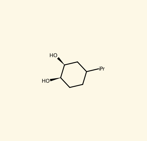 CC(C)C1CC[C@@H](O)[C@@H](O)C1